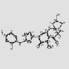 Cc1cc(F)ccc1Cc1nnc(-c2cn3c(c(O)c2=O)C(=O)C(C)(C)C2(CC(C)CO2)C3)s1